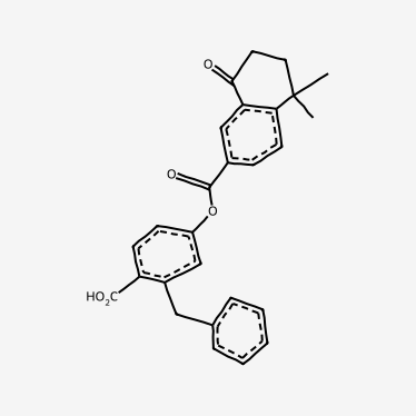 CC1(C)CCC(=O)c2cc(C(=O)Oc3ccc(C(=O)O)c(Cc4ccccc4)c3)ccc21